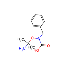 CC(C)(N)ON(Cc1ccccc1)C(=O)O